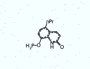 CCCc1ccc(OP)c2[nH]c(=O)ccc12